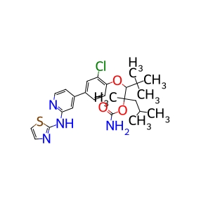 CC(C)CC(C)(OC(N)=O)C(Oc1ccc(-c2ccnc(Nc3nccs3)c2)cc1Cl)C(C)(C)C